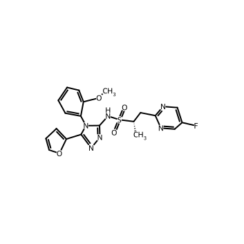 COc1ccccc1-n1c(NS(=O)(=O)[C@@H](C)Cc2ncc(F)cn2)nnc1-c1ccco1